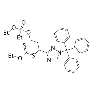 CCOC(=S)SC(CCOP(=O)(CC)OCC)c1ncn(C(c2ccccc2)(c2ccccc2)c2ccccc2)n1